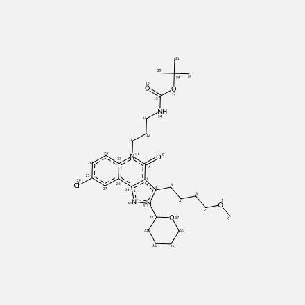 COCCCCc1c2c(=O)n(CCCNC(=O)OC(C)(C)C)c3ccc(Cl)cc3c2nn1C1CCCCO1